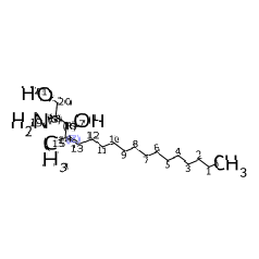 CCCCCCCCCCCCC/C=C(/C)[C@@H](O)[C@@H](N)CO